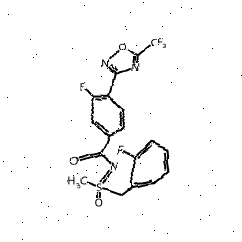 CS(=O)(Cc1ccccc1F)=NC(=O)c1ccc(-c2noc(C(F)(F)F)n2)c(F)c1